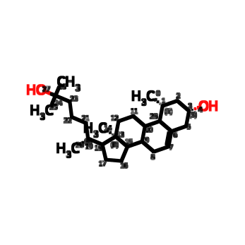 C[C@@H]1C[C@H](O)CC2=CCC3C(CC[C@@]4(C)C3CCC4[C@H](C)CCCC(C)(C)O)C21